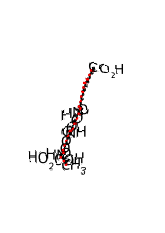 C[C@H](O)CC[C@H](NC(=O)COCCOCCNC(=O)COCCOCCNC(=O)CCCCCCCCCCCCCCCCCCC(=O)O)C(=O)O